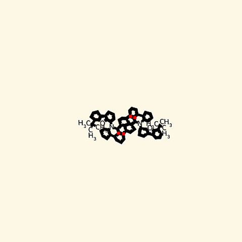 CC(C)(C)c1cccc2c1oc1c(N(c3ccccc3-c3ccccc3)c3ccc4ccc5c(N(c6ccccc6-c6ccccc6)c6cccc7c6oc6c(C(C)(C)C)cccc67)ccc6ccc3c4c65)cccc12